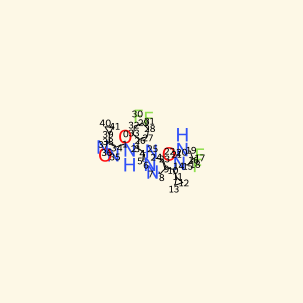 O=C(NC(c1cn2ncc(C(C3CC3)N3CC(F)(F)CNC3=O)cc2n1)C1CCC(F)(F)CC1)c1nonc1C1CC1